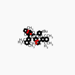 CC12CC[C@@](C)(C1)C1Cc3oc4c(c3C=C12)N(c1cc2c(cc1-c1ccccc1)C(C)(C)CCC2(C)C)c1cc(C(C)(C)C)cc2c1B4c1ccc(C(C)(C)C)cc1N2c1cc2c(cc1-c1ccccc1)C(C)(C)CCC2(C)C